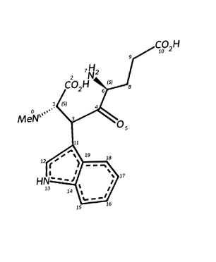 CN[C@H](C(=O)O)C(C(=O)[C@@H](N)CCC(=O)O)c1c[nH]c2ccccc12